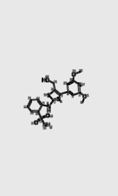 COc1cc(-c2nc(Nc3ccccc3S(N)(=O)=O)sc2CO)cc(OC)n1